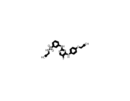 C#CCNS(=O)(=O)c1cccc(Nc2ncc(F)c(Nc3ccc(OCC#C)cc3)n2)c1